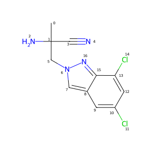 CC(N)(C#N)Cn1cc2cc(Cl)cc(Cl)c2n1